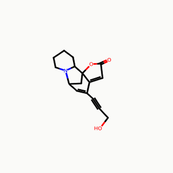 O=C1C=C2C(C#CCO)=CC3CC2(O1)C1CCCCN31